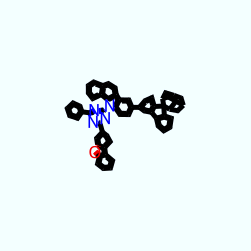 c1ccc(-c2nc(-c3ccc4c(c3)oc3ccccc34)nc(-n3c4ccc(-c5ccc6c(c5)-c5ccccc5C65C6CC7CC(C6)CC5C7)cc4c4ccc5ccccc5c43)n2)cc1